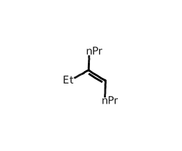 [CH2]CCC(=CCCC)CC